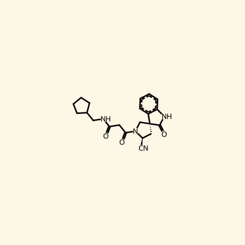 N#C[C@@H]1C[C@@]2(CN1C(=O)CC(=O)NCC1CCCC1)C(=O)Nc1ccccc12